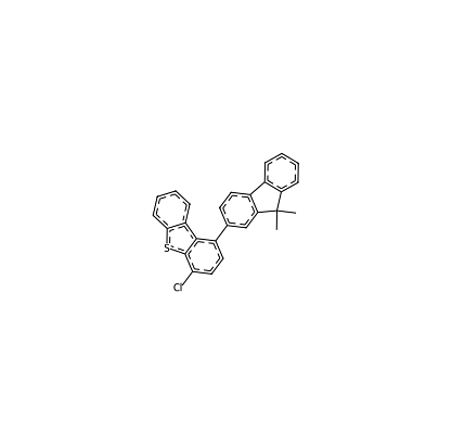 CC1(C)c2ccccc2-c2ccc(-c3ccc(Cl)c4sc5ccccc5c34)cc21